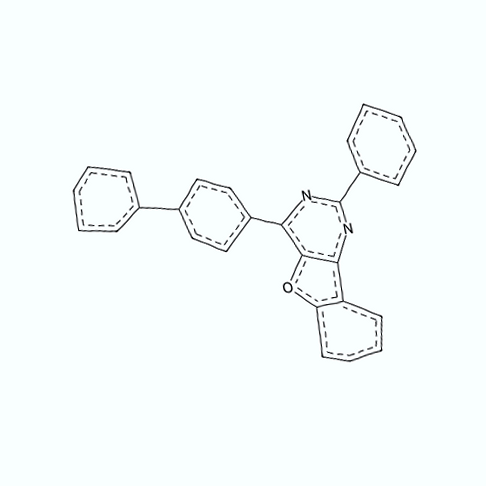 c1ccc(-c2ccc(-c3nc(-c4ccccc4)nc4c3oc3ccccc34)cc2)cc1